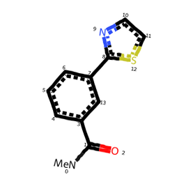 CNC(=O)c1cccc(-c2nccs2)c1